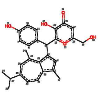 Cc1cc(C(c2ccc(O)cc2)c2oc(CO)cc(=O)c2O)c2c(C)cc(C(C)C)ccc1-2